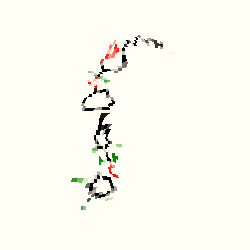 CCCCC1CCC(C(F)(F)OC2CCC(c3cc(F)c(C(F)(F)Oc4cc(F)c(F)c(F)c4)c(F)c3)CC2)CO1